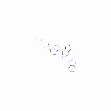 CNC1CC=C(c2cnc(N)c3c(-c4ccc(Cc5nc6ccccc6[nH]5)c5ccccc45)nc(C)n23)CC1